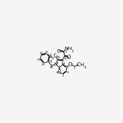 CCOc1ccnc2c1c(C(=O)C(N)=O)c(C)n2Cc1ccccc1